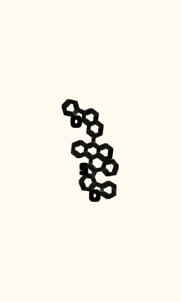 c1ccc(-c2c(-c3c4ccccc4c(-c4ccc5ccc6c7ccccc7oc6c5c4)c4ccccc34)sc3ccc4oc5ccccc5c4c23)cc1